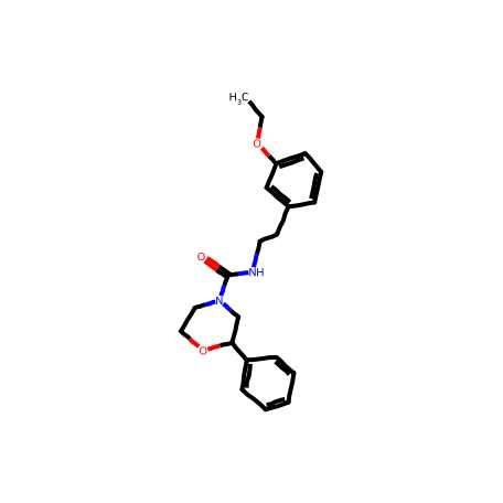 CCOc1cccc(CCNC(=O)N2CCOC(c3ccccc3)C2)c1